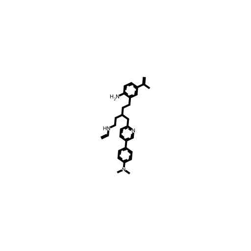 C=CNCCC(CCc1cc(C(=C)C)ccc1N)Cc1ccc(-c2ccc(N(C)C)cc2)cn1